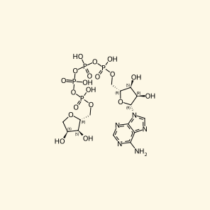 Nc1ncnc2c1ncn2[C@@H]1O[C@H](COP(=O)(O)OP(=O)(O)OP(=O)(O)OP(=O)(O)OC[C@H]2OC[C@H](O)[C@@H]2O)[C@@H](O)[C@H]1O